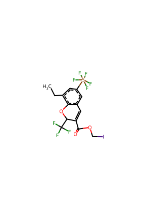 CCc1cc(S(F)(F)(F)(F)F)cc2c1OC(C(F)(F)F)C(C(=O)OCI)=C2